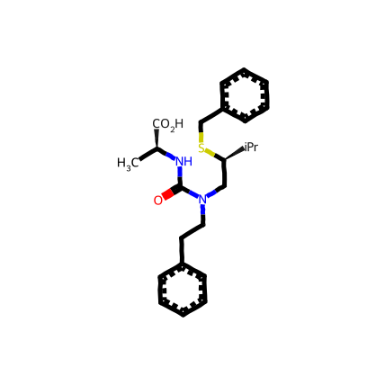 CC(C)[C@@H](CN(CCc1ccccc1)C(=O)N[C@@H](C)C(=O)O)SCc1ccccc1